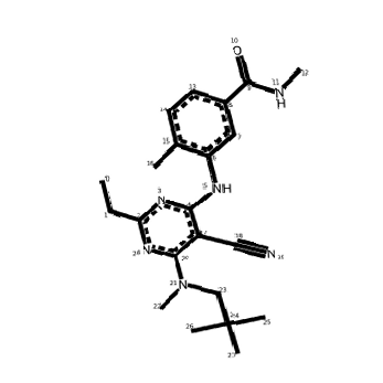 CCc1nc(Nc2cc(C(=O)NC)ccc2C)c(C#N)c(N(C)CC(C)(C)C)n1